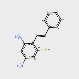 Nc1cc(N)c(C=Cc2ccccc2)c(F)c1